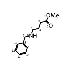 COC(=O)CCCNCc1ccccc1